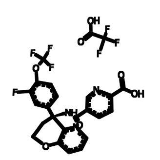 O=C(N[C@]1(c2ccc(OC(F)(F)F)c(F)c2)CCOc2cccnc21)c1ccc(C(=O)O)nc1.O=C(O)C(F)(F)F